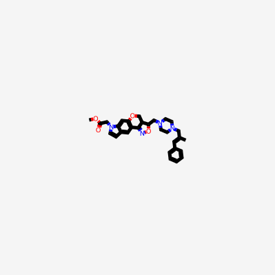 COC(=O)Cn1ccc2cc3c(cc21)OCC1C3=NOC1CN1CCN(CC(C)=Cc2ccccc2)CC1